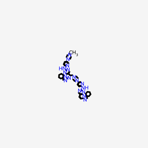 CN1CCN(c2ccc(Nc3ncc4c(n3)N3C(=NCC35CCCCC5)N=C4CN3CCN(c4ccc(Nc5ncc6c(n5)N5C(=NCC57CCCCC7)C=C6)nc4)CC3)nc2)CC1